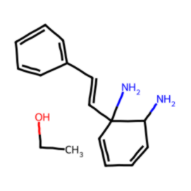 CCO.NC1C=CC=CC1(N)C=Cc1ccccc1